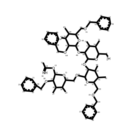 [3H]CC1OC(OC2C(OCC3OC(OC(C)=N)C(OCc4ccccc4)C(C)C3C)OC(COCc3ccccc3)C(C)C2C)C(OC2OC(COCc3ccccc3)C(C)C(C)C2OCc2ccccc2)C(C)C1C